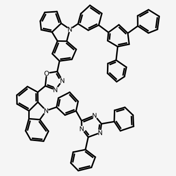 c1ccc(-c2cc(-c3ccccc3)cc(-c3cccc(-n4c5ccccc5c5cc(-c6nnc(-c7cccc8c9ccccc9n(-c9cccc(-c%10nc(-c%11ccccc%11)nc(-c%11ccccc%11)n%10)c9)c78)o6)ccc54)c3)c2)cc1